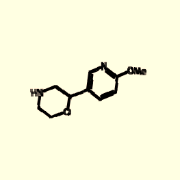 COc1ccc(C2CNCCO2)cn1